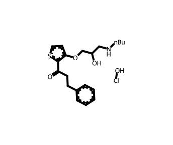 CCCCNCC(O)COc1ccsc1C(=O)CCc1ccccc1.OCl